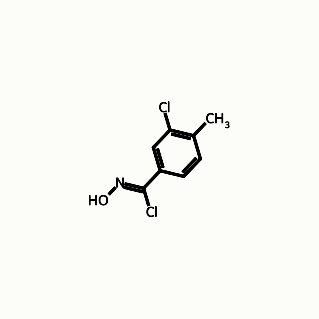 Cc1ccc(C(Cl)=NO)cc1Cl